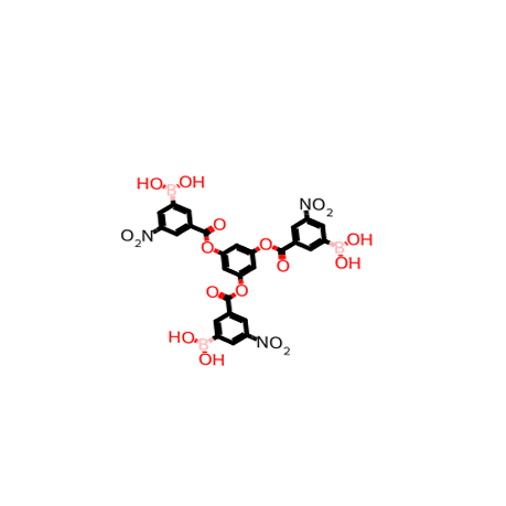 O=C(Oc1cc(OC(=O)c2cc(B(O)O)cc([N+](=O)[O-])c2)cc(OC(=O)c2cc(B(O)O)cc([N+](=O)[O-])c2)c1)c1cc(B(O)O)cc([N+](=O)[O-])c1